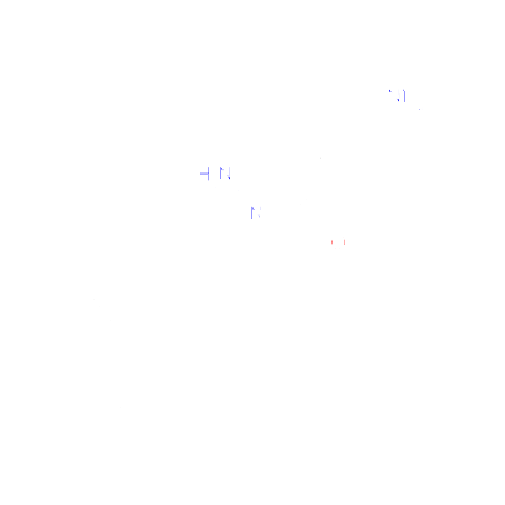 NCCC(=O)N(N)Cc1cccc2ccccc12